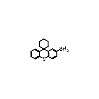 Bc1ccc2c(c1)C1(CCCCC1)c1ccccc1S2